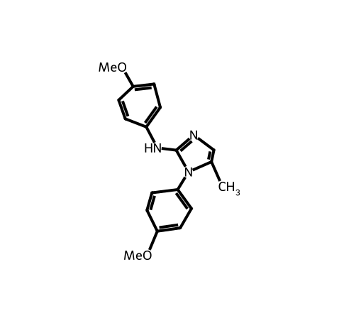 COc1ccc(Nc2ncc(C)n2-c2ccc(OC)cc2)cc1